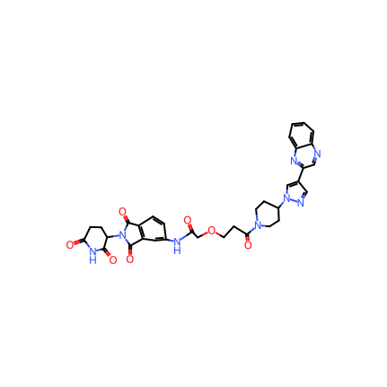 O=C1CCC(N2C(=O)c3ccc(NC(=O)COCCC(=O)N4CCC(n5cc(-c6cnc7ccccc7n6)cn5)CC4)cc3C2=O)C(=O)N1